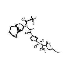 CCCCC(N)C(N)S(=O)(=O)c1ccc(C(=O)C(C)N(C(=O)C(C)(C)C)c2ccc3ccccc3c2)cc1